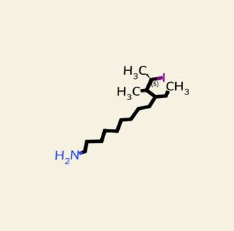 CCC(CCCCCCCCCN)C(C)[C@H](C)I